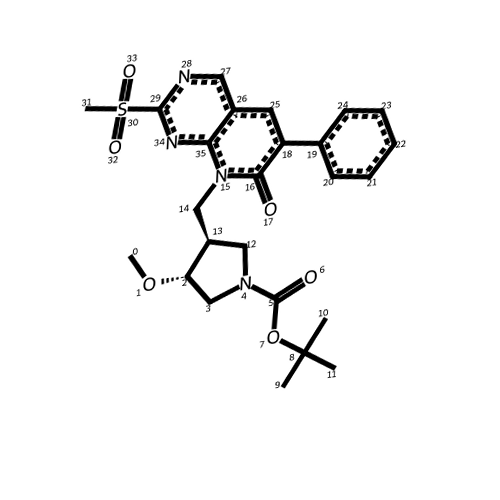 CO[C@H]1CN(C(=O)OC(C)(C)C)C[C@@H]1Cn1c(=O)c(-c2ccccc2)cc2cnc(S(C)(=O)=O)nc21